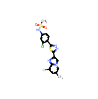 CS(=O)(=O)Nc1ccc(-c2nnc(-c3cn4cc(C(F)(F)F)cc(Cl)c4n3)s2)c(Cl)c1